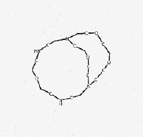 C1COCCNCCN2CCOCCOCCN(CCN1)CCOCC2